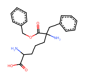 NC(CCCC(N)(Cc1ccccc1)C(=O)OCc1ccccc1)C(=O)O